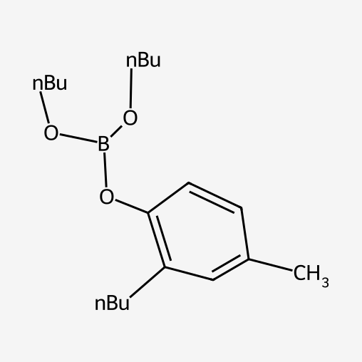 CCCCOB(OCCCC)Oc1ccc(C)cc1CCCC